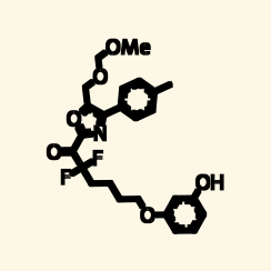 COCOCc1oc(C(=O)C(F)(F)CCCCOc2cccc(O)c2)nc1-c1ccc(C)cc1